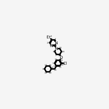 CCc1cnc(N2CCC(Oc3ccc(CC4CCCCC4)cc3Cl)CC2)nc1